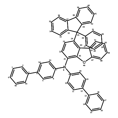 c1ccc(-c2ccc(N(c3ccc(-c4ccccc4)cc3)c3ccc(C4(c5ccccc5)c5ccccc5-c5ccccc54)c4c3oc3ccccc34)cc2)cc1